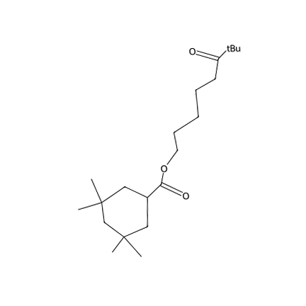 CC1(C)CC(C(=O)OCCCCCC(=O)C(C)(C)C)CC(C)(C)C1